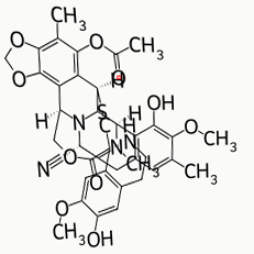 COc1cc2c(cc1O)CCN[C@]21CS[C@@H]2c3c(OC(C)=O)c(C)c4c(c3[C@H](COC1=O)N1C2[C@H]2c3c(cc(C)c(OC)c3O)CC([C@@H]1C#N)N2C)OCO4